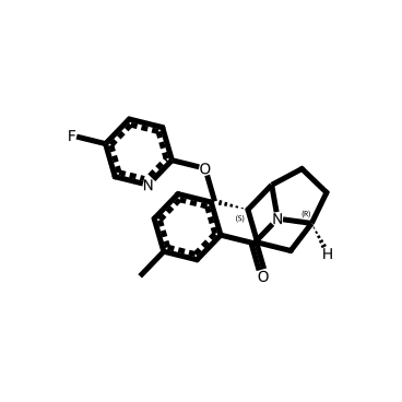 Cc1cccc(C(=O)N2C3CC[C@H]2CC[C@@H]3COc2ccc(F)cn2)c1